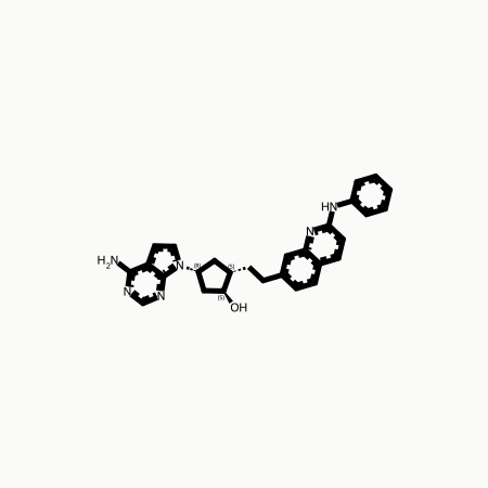 Nc1ncnc2c1ccn2[C@@H]1C[C@H](CCc2ccc3ccc(Nc4ccccc4)nc3c2)[C@@H](O)C1